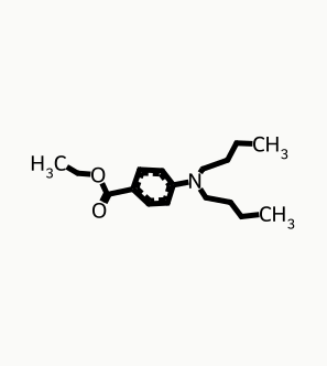 CCCCN(CCCC)c1ccc(C(=O)OCC)cc1